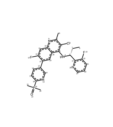 CC[C@@H](Nc1c(Cl)c(C)nc2cc(F)c(-c3ccc(P(C)(C)=O)nc3)cc12)c1ncccc1F